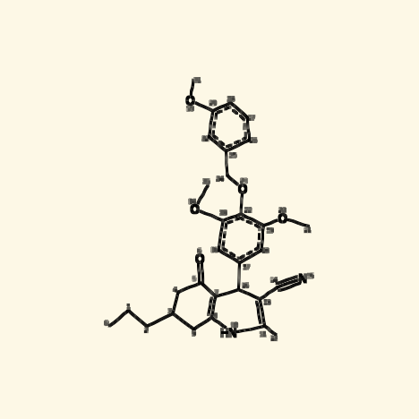 CCCC1CC(=O)C2=C(C1)NC(C)=C(C#N)C2c1cc(OC)c(OCc2cccc(OC)c2)c(OC)c1